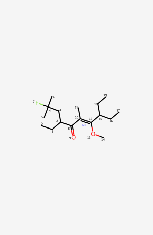 CCC(CC(C)(C)F)C(=O)/C(C)=C(\OC)C(CC)CC